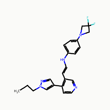 CCCn1cc(-c2ccncc2/C=C/Nc2ccc(N3CC(F)(F)C3)cc2)cn1